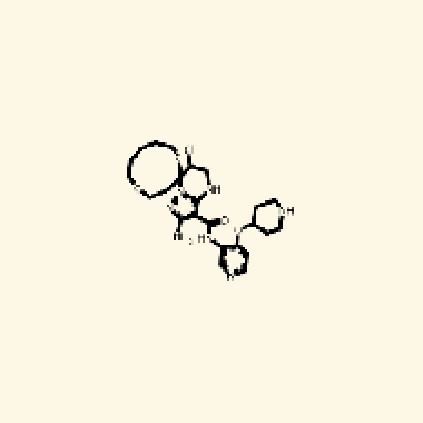 Nc1nn2c(c1C(=O)Nc1cnccc1OC1CCNCC1)NCC(Cl)C21CCCCCCCCC1